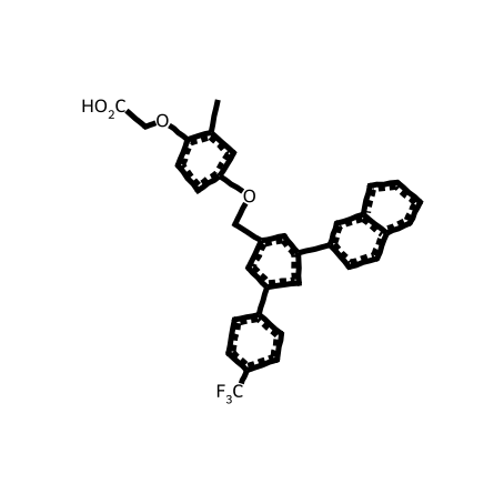 Cc1cc(OCc2cc(-c3ccc(C(F)(F)F)cc3)cc(-c3ccc4ccccc4c3)c2)ccc1OCC(=O)O